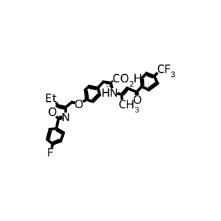 CCc1oc(-c2ccc(F)cc2)nc1COc1ccc(C[C@H](NC(C)=CC(=O)c2ccc(C(F)(F)F)cc2)C(=O)O)cc1